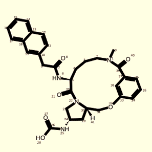 CN1CCC[C@H](NC(=O)Cc2ccc3ccccc3c2)C(=O)N2C[C@@H](NC(=O)O)C[C@H]2COc2cccc(c2)C1=O